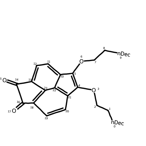 CCCCCCCCCCCCOc1c(OCCCCCCCCCCCC)c2ccc3c(=O)c(=O)c4ccc1c2c43